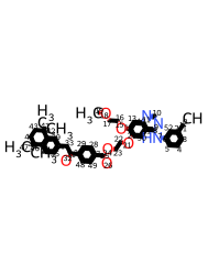 C#Cc1cccc(Nc2ncnc3cc(OCCOC)c(OCCOC(=O)c4ccc(C(=O)Cc5ccc6c(c5)C(C)(C)CCC6(C)C)cc4)cc23)c1